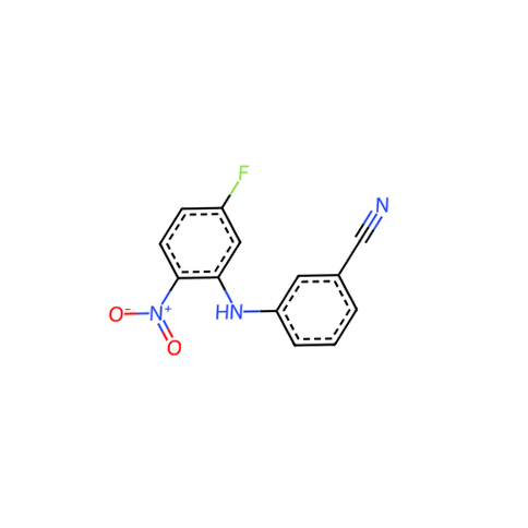 N#Cc1cccc(Nc2cc(F)ccc2[N+](=O)[O-])c1